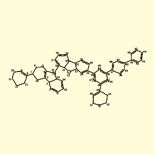 C1=CC2C3=C(CCC(C4=CCCCC4)C3)N(C3=CC=CC4C3OC3C=C(c5nc(C6=CCCCC6)nc(-c6ccc(-c7ccccc7)cc6)n5)C=CC34)C2C=C1